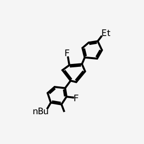 CCCCc1ccc(-c2ccc(-c3ccc(CC)cc3)c(F)c2)c(F)c1C